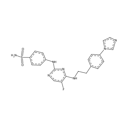 NS(=O)(=O)c1ccc(Nc2ncc(F)c(NCCc3ccc(-n4ccnc4)cc3)n2)cc1